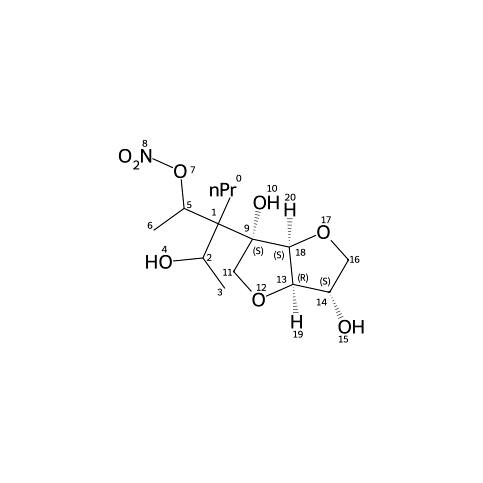 CCCC(C(C)O)(C(C)O[N+](=O)[O-])[C@]1(O)CO[C@@H]2[C@@H](O)CO[C@@H]21